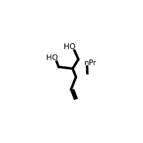 C=CCC(CO)CO.CCCC